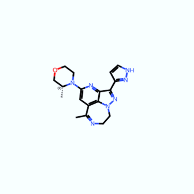 CC1=NCCn2nc(-c3cc[nH]n3)c3nc(N4CCOC[C@H]4C)cc1c32